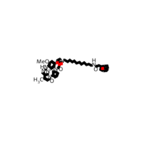 COc1cc(N2CCN(CCCCCCCCCCCCNC(=O)CC34CC5CC(CC3C5)C4)CC2)ccc1Nc1ncc2c(C)cc(=O)n(-c3cccc(NC(=O)C4CC4)c3)c2n1